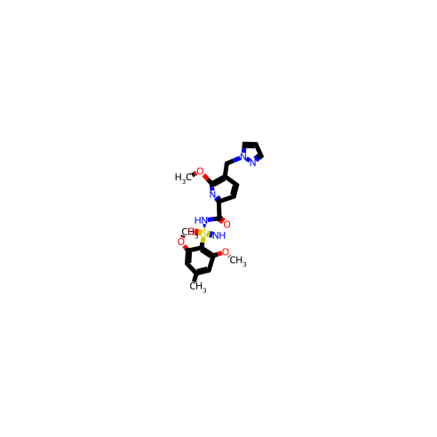 COc1cc(C)cc(OC)c1[S@@](=N)(=O)NC(=O)c1ccc(Cn2cccn2)c(OC)n1